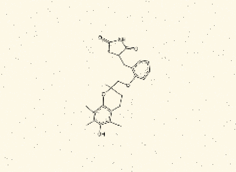 Cc1c(C)c2c(c(C)c1O)CCC(C)(COc1ccccc1CC1SC(=O)NC1=O)O2